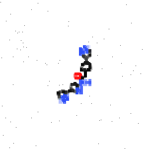 O=C(Cc1ccc(-c2ccnnc2)cc1)Nc1ccc(-c2cccnn2)cn1